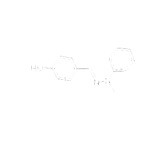 CN(N=Cc1ccc(O)cc1)c1ccccc1